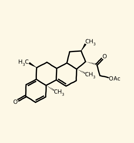 CC(=O)OCC(=O)[C@H]1[C@H](C)CC2C3C[C@H](C)C4=CC(=O)C=C[C@]4(C)C3=CC[C@@]21C